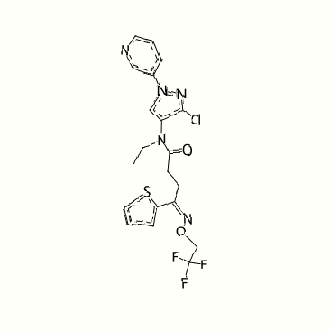 CCN(C(=O)CC/C(=N/OCC(F)(F)F)c1cccs1)c1cn(-c2cccnc2)nc1Cl